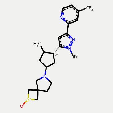 CC1CC(N2CCC3(C2)C[S+]([O-])C3)C[C@H]1c1cc(-c2cc(C(F)(F)F)ccn2)nn1C(C)C